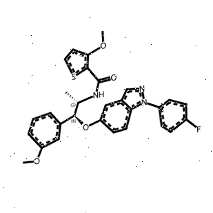 COc1cccc([C@H](Oc2ccc3c(cnn3-c3ccc(F)cc3)c2)[C@H](C)NC(=O)c2sccc2OC)c1